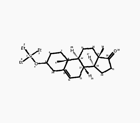 CC[Si](CC)(CC)OC1CC[C@@]2(C)C(=CC[C@@H]3[C@@H]2CC[C@]2(C)C(=O)CC[C@@H]32)C1